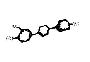 CCc1cc(C2=CCC(c3ccc(O)cc3)CC2)ccc1O